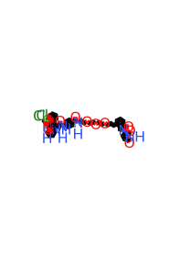 O=C1CCC(N2Cc3c(CCCOCCOCCOCCNC(=O)c4ccc(NC(=O)[C@@H]5NC6(CCCCC6)[C@@]6(C(=O)Nc7cc(Cl)ccc76)[C@H]5c5cccc(Cl)c5F)cc4)cccc3C2=O)C(=O)N1